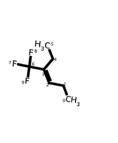 CC/C=C(\CC)C(F)(F)F